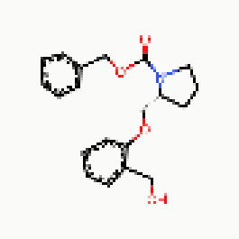 O=C(OCc1ccccc1)N1CCC[C@@H]1COc1ccccc1CO